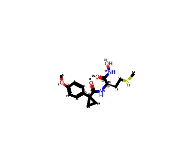 COc1ccc(C2(C(=O)N[C@H](CCSC)C(=O)NO)CC2)cc1